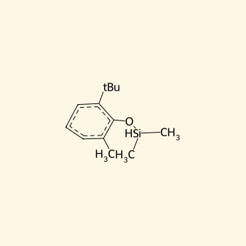 Cc1cccc(C(C)(C)C)c1O[SiH](C)C